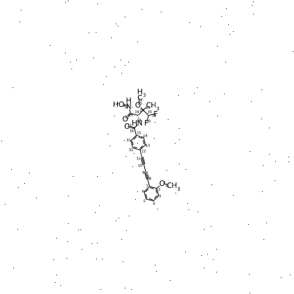 COc1ccccc1C#CC#Cc1ccc(C(=O)N[C@H](C(=O)NO)C(C)(OC)C(F)F)cc1